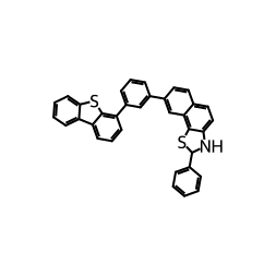 c1ccc(C2Nc3ccc4ccc(-c5cccc(-c6cccc7c6sc6ccccc67)c5)cc4c3S2)cc1